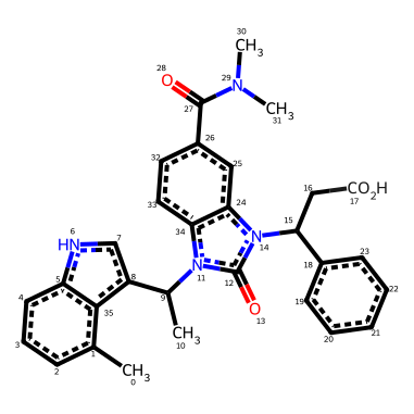 Cc1cccc2[nH]cc(C(C)n3c(=O)n(C(CC(=O)O)c4ccccc4)c4cc(C(=O)N(C)C)ccc43)c12